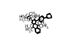 CC1(C)c2ccccc2C(C)(C)c2c1cc(B1OC(C)(C)C(C)(C)O1)c(N)c2-c1ccc(-c2ccccc2)cc1